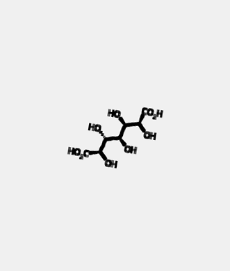 O=C(O)[C@@H](O)[C@H](O)[C@@H](O)[C@@H](O)[C@@H](O)C(=O)O